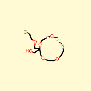 OCC1(COCCCl)COCCOCCNCCOCCO1